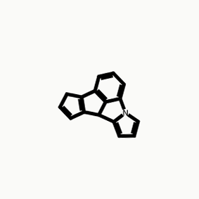 C1=CC2=C(C1)c1cccc3c1C2c1cccn1-3